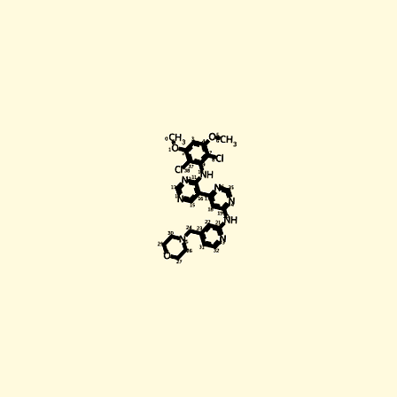 COc1cc(OC)c(Cl)c(Nc2ncncc2-c2cc(Nc3cc(CN4CCOCC4)ccn3)ncn2)c1Cl